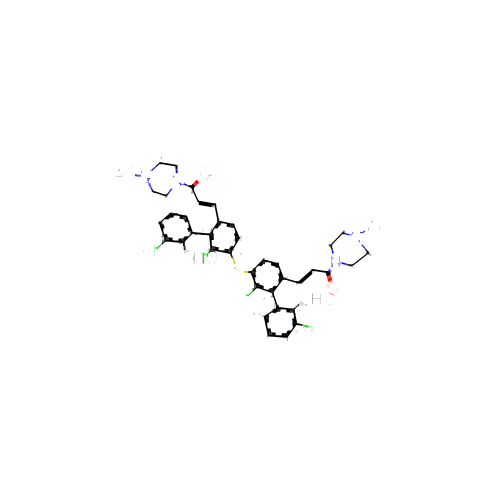 CC(=O)N1CCN(C(=O)/C=C/c2ccc(Sc3ccc(/C=C/C(=O)N4CCN(C(C)=O)CC4)c(-c4cccc(Cl)c4C=O)c3Cl)c(Cl)c2-c2cccc(Cl)c2C=O)CC1